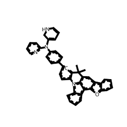 CC1(C)c2cc(-c3ccc(N(C4=CC=CNC4)c4ccccn4)cc3)ccc2-n2c3ccccc3c3c4oc5ccccc5c4cc1c32